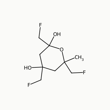 CC1(CF)CC(O)(CF)CC(O)(CF)O1